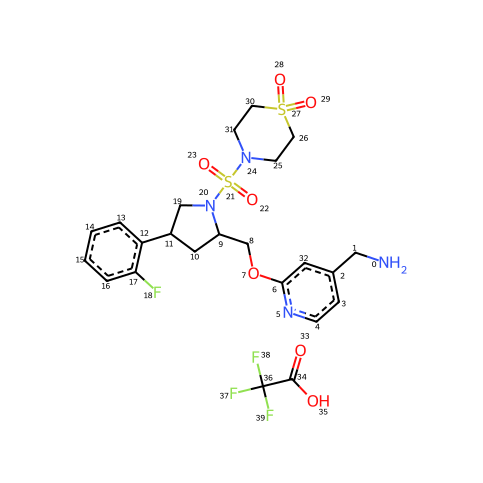 NCc1ccnc(OCC2CC(c3ccccc3F)CN2S(=O)(=O)N2CCS(=O)(=O)CC2)c1.O=C(O)C(F)(F)F